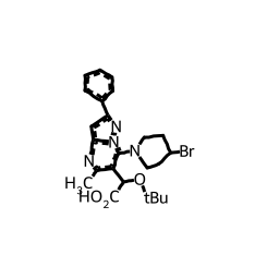 Cc1nc2cc(-c3ccccc3)nn2c(N2CCC(Br)CC2)c1C(OC(C)(C)C)C(=O)O